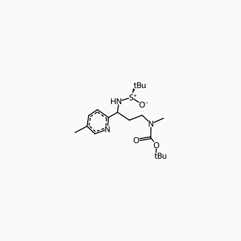 Cc1ccc(C(CCN(C)C(=O)OC(C)(C)C)N[S@+]([O-])C(C)(C)C)nc1